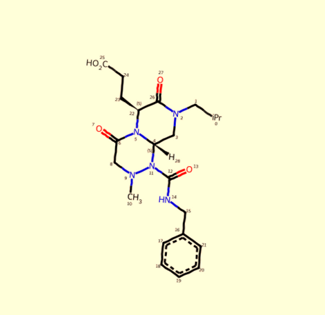 CC(C)CN1C[C@H]2N(C(=O)CN(C)N2C(=O)NCc2ccccc2)[C@@H](CCC(=O)O)C1=O